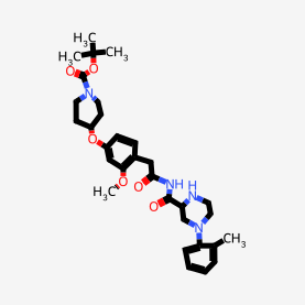 COc1cc(OC2CCN(C(=O)OC(C)(C)C)CC2)ccc1CC(=O)NC(=O)C1CN(c2ccccc2C)CCN1